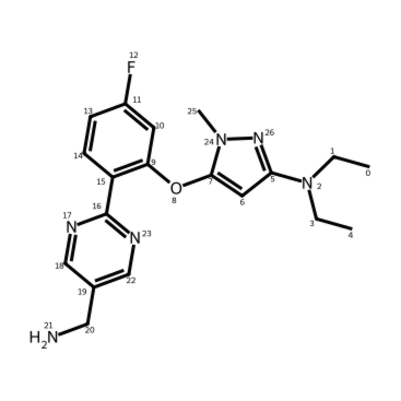 CCN(CC)c1cc(Oc2cc(F)ccc2-c2ncc(CN)cn2)n(C)n1